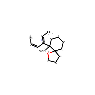 C/C=C(/C=C\CC)C1(NC)CCCCC12CCCO2